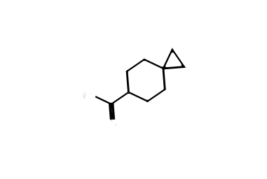 CC(C)C(=O)C1CCC2(CC1)CC2